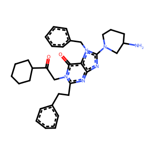 NC1CCCN(c2nc3nc(CCc4ccccc4)n(CC(=O)C4CCCCC4)c(=O)c3n2Cc2ccccc2)C1